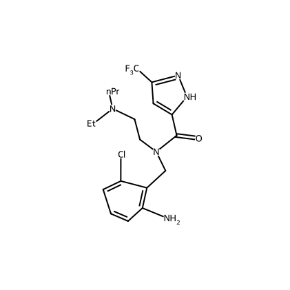 CCCN(CC)CCN(Cc1c(N)cccc1Cl)C(=O)c1cc(C(F)(F)F)n[nH]1